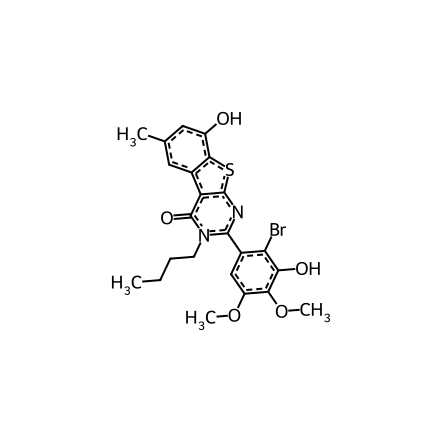 CCCCn1c(-c2cc(OC)c(OC)c(O)c2Br)nc2sc3c(O)cc(C)cc3c2c1=O